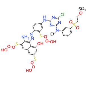 CCN(c1cccc(S(=O)(=O)CCOS(=O)(=O)O)c1)c1nc(Cl)nc(Nc2ccc(N=Nc3c(N)c(SOOO)cc4cc(SOOO)cc(O)c34)c(SOOO)c2)n1